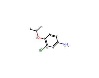 CC(C)Oc1ccc(N)cc1Br